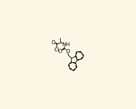 CC(NC(=O)OCC1c2ccccc2-c2ccccc21)C(=O)Cl